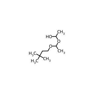 CC(O)OC(C)OCCC(C)(C)C